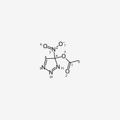 CC(=O)OC1([N+](=O)[O-])C=NN=N1